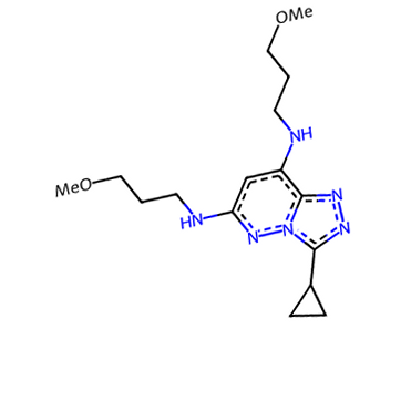 COCCCNc1cc(NCCCOC)c2nnc(C3CC3)n2n1